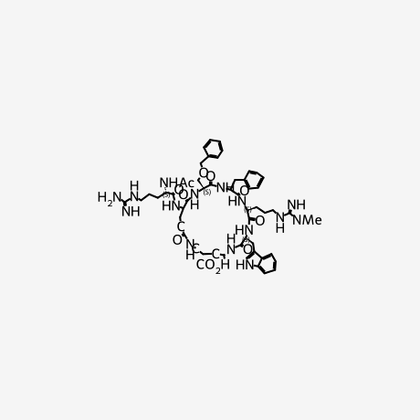 CNC(=N)NCCC[C@@H]1NC(=O)C(Cc2ccccc2)NC(=O)[C@H](COCc2ccccc2)NC(=O)C(NC(=O)[C@H](CCCNC(=N)N)NC(C)=O)CCC(=O)NCCCC(C(=O)O)NC(=O)[C@H](Cc2c[nH]c3ccccc23)NC1=O